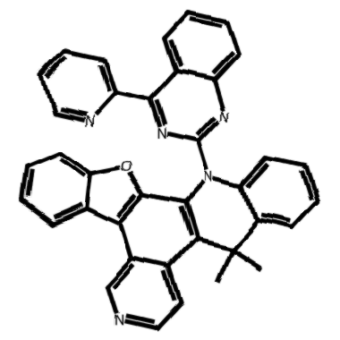 CC1(C)c2ccccc2N(c2nc(-c3ccccn3)c3ccccc3n2)c2c1c1ccncc1c1c2oc2ccccc21